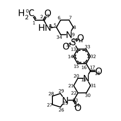 C=CC(=O)N[C@H]1CCCN(S(=O)(=O)c2ccc(C(=O)N3CCC(C(=O)N4CCCC4)CC3)cc2)C1